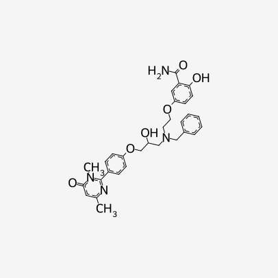 Cc1cc(=O)n(C)c(-c2ccc(OCC(O)CN(CCOc3ccc(O)c(C(N)=O)c3)Cc3ccccc3)cc2)n1